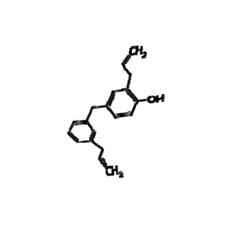 C=CCc1cccc(Cc2ccc(O)c(CC=C)c2)c1